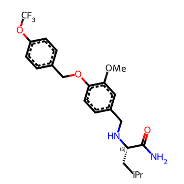 COc1cc(CN[C@@H](CC(C)C)C(N)=O)ccc1OCc1ccc(OC(F)(F)F)cc1